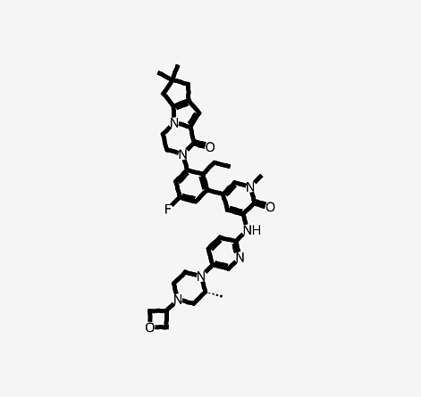 CCc1c(-c2cc(Nc3ccc(N4CCN(C5COC5)C[C@H]4C)cn3)c(=O)n(C)c2)cc(F)cc1N1CCn2c(cc3c2CC(C)(C)C3)C1=O